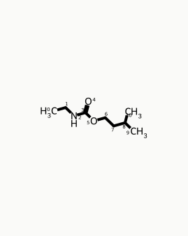 CCNC(=O)OCCC(C)C